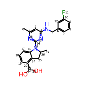 Cc1cc(NCc2cccc(F)c2)nc(N2c3cccc(B(O)O)c3CC2C)n1